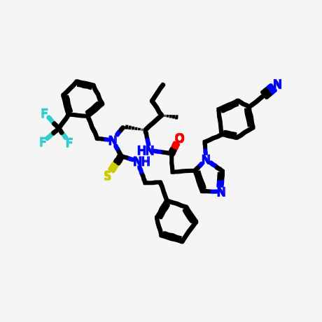 CC[C@H](C)[C@@H](CN(Cc1ccccc1C(F)(F)F)C(=S)NCCc1ccccc1)NC(=O)Cc1cncn1Cc1ccc(C#N)cc1